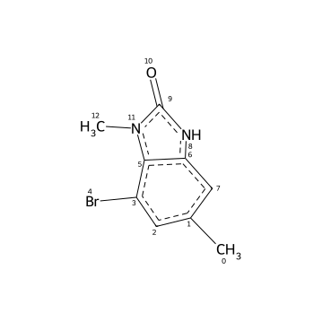 Cc1cc(Br)c2c(c1)[nH]c(=O)n2C